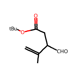 C=C(C)C(C=O)CC(=O)OC(C)(C)C